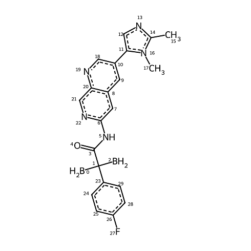 BC(B)(C(=O)Nc1cc2cc(-c3cnc(C)n3C)cnc2cn1)c1ccc(F)cc1